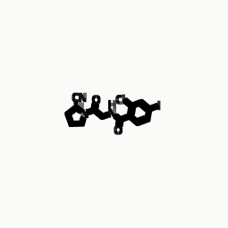 N#C[C@@H]1CCCN1C(=O)CNC(=O)c1ccc(I)cc1Cl